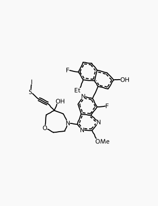 CCc1c(F)ccc2cc(O)cc(-c3ncc4c(N5CCOCC(O)(C#CSI)C5)nc(OC)nc4c3F)c12